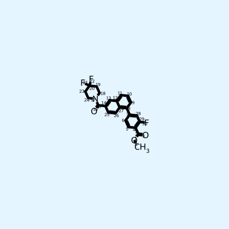 COC(=O)c1ccc(-c2cccc3cc(C(=O)N4CCC(F)(F)CC4)ccc23)cc1F